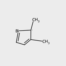 C[C]1[Bi]=[CH]C=C1C